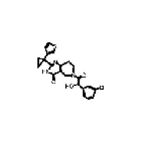 O=C([C@H](O)c1cccc(Cl)c1)N1CCc2nc(C3(c4ccsc4)CC3)[nH]c(=O)c2C1